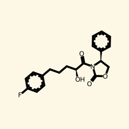 O=C1OC[C@H](c2ccccc2)N1C(=O)[C@@H](O)CCCc1ccc(F)cc1